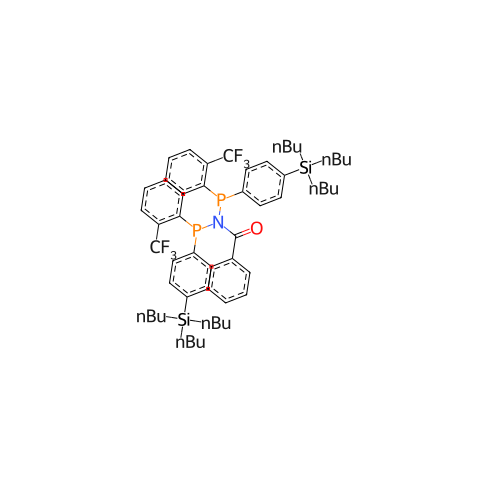 CCCC[Si](CCCC)(CCCC)c1ccc(P(c2ccccc2C(F)(F)F)N(C(=O)c2ccccc2)P(c2ccc([Si](CCCC)(CCCC)CCCC)cc2)c2ccccc2C(F)(F)F)cc1